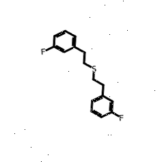 Fc1cccc(CCSCCc2cccc(F)c2)c1